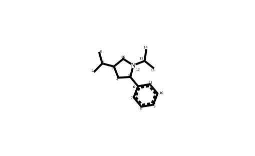 CC(C)C1CC(c2ccccc2)N(C(C)C)C1